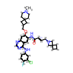 CN1CCC2(CC1)CC(COc1cc3ncnc(Nc4ccc(F)c(Cl)c4)c3cc1NC(=O)/C=C/CN1CC3(CCC3)C1)C2